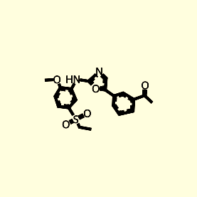 CCS(=O)(=O)c1ccc(OC)c(Nc2ncc(-c3cccc(C(C)=O)c3)o2)c1